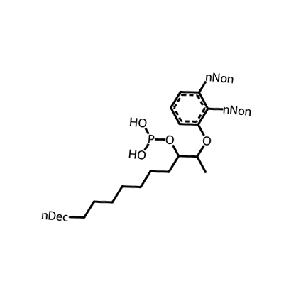 CCCCCCCCCCCCCCCCCC(OP(O)O)C(C)Oc1cccc(CCCCCCCCC)c1CCCCCCCCC